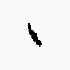 CCCCCCC1CCC(C(=O)Oc2ccc(-c3ccc(F)cc3)cc2)CC1